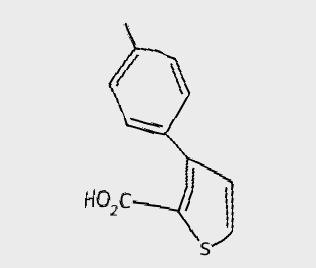 Cc1ccc(-c2ccsc2C(=O)O)cc1